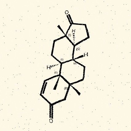 C[C@]12CC[C@H]3[C@@H]4CCC(=O)[C@@]4(C)CC[C@@H]3[C@@]1(C)C=CC(=O)C2